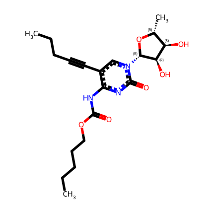 CCCC#Cc1cn([C@@H]2O[C@H](C)[C@@H](O)[C@H]2O)c(=O)nc1NC(=O)OCCCCC